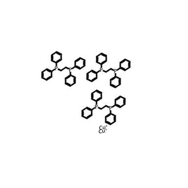 [Cu+].[Cu+].c1ccc(P(CCP(c2ccccc2)c2ccccc2)c2ccccc2)cc1.c1ccc(P(CCP(c2ccccc2)c2ccccc2)c2ccccc2)cc1.c1ccc(P(CCP(c2ccccc2)c2ccccc2)c2ccccc2)cc1